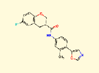 Cc1cc(NC(=O)C2COc3ccc(F)cc3C2)ccc1-c1cnco1